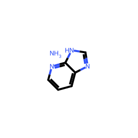 N.c1cnc2[nH]cnc2c1